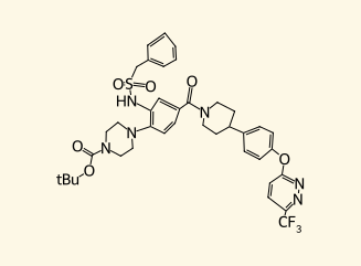 CC(C)(C)OC(=O)N1CCN(c2ccc(C(=O)N3CCC(c4ccc(Oc5ccc(C(F)(F)F)nn5)cc4)CC3)cc2NS(=O)(=O)Cc2ccccc2)CC1